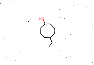 CCC1CCCC(O)CCC1